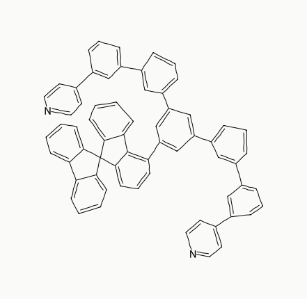 c1cc(-c2ccncc2)cc(-c2cccc(-c3cc(-c4cccc(-c5cccc(-c6ccncc6)c5)c4)cc(-c4cccc5c4-c4ccccc4C54c5ccccc5-c5ccccc54)c3)c2)c1